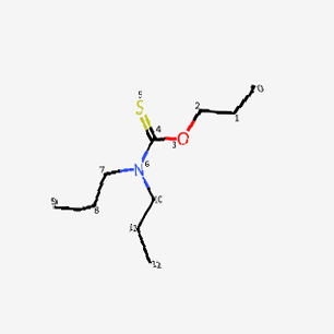 CCCOC(=S)N(CCC)CCC